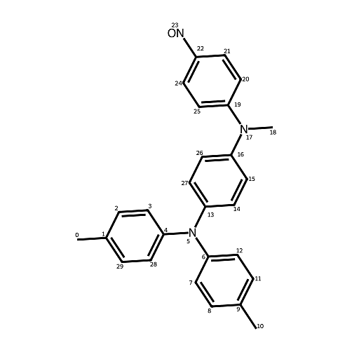 Cc1ccc(N(c2ccc(C)cc2)c2ccc(N(C)c3ccc(N=O)cc3)cc2)cc1